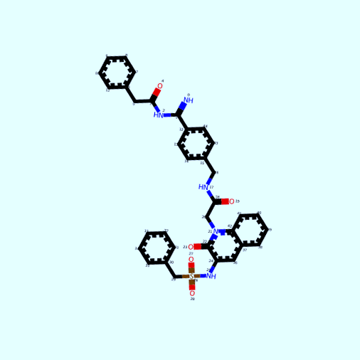 N=C(NC(=O)Cc1ccccc1)c1ccc(CNC(=O)Cn2c(=O)c(NS(=O)(=O)Cc3ccccc3)cc3ccccc32)cc1